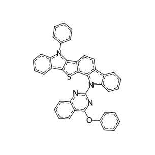 c1ccc(Oc2nc(-n3c4ccccc4c4ccc5c(sc6c7ccccc7n(-c7ccccc7)c56)c43)nc3ccccc23)cc1